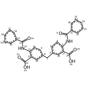 O=C(Nc1ccc(Cc2ccc(NC(=O)c3cccnc3)c(C(=O)O)c2)cc1C(=O)O)c1cccnc1